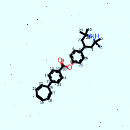 CC1(C)CC(c2ccc(OC(=O)c3ccc(C4C=CC=CC=C4)cc3)cc2)CC(C)(C)N1